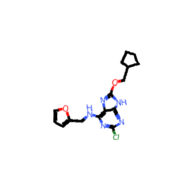 Clc1nc(NCc2ccco2)c2nc(OCC3CCCC3)[nH]c2n1